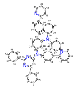 c1ccc(-c2cc(-n3c4ccc(-c5ccccn5)cc4c4c5c(ccc43)-c3ccc(-c4ccccn4)c4cccc(c34)N5c3ccccc3)nc(-c3ccccc3)n2)cc1